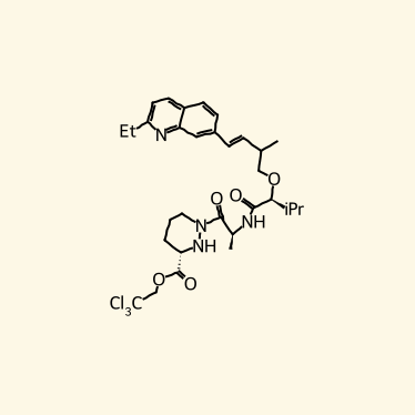 CCc1ccc2ccc(/C=C/C(C)CO[C@H](C(=O)N[C@@H](C)C(=O)N3CCC[C@@H](C(=O)OCC(Cl)(Cl)Cl)N3)C(C)C)cc2n1